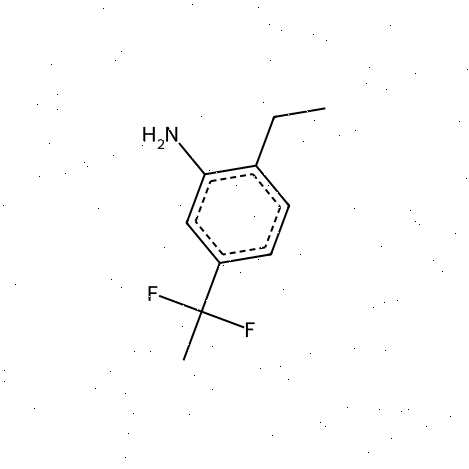 CCc1ccc(C(C)(F)F)cc1N